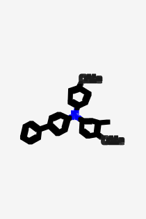 COc1ccc(N(c2ccc(-c3ccccc3)cc2)c2ccc(OC)c(C)c2)cc1